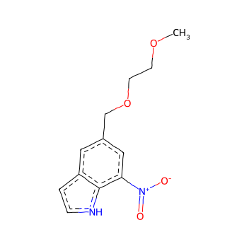 COCCOCc1cc([N+](=O)[O-])c2[nH]ccc2c1